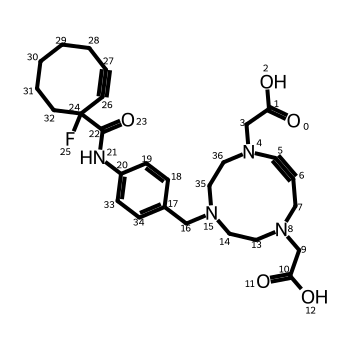 O=C(O)CN1C#CCN(CC(=O)O)CCN(Cc2ccc(NC(=O)C3(F)C#CCCCCC3)cc2)CC1